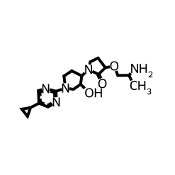 CC(N)COC1CCN(C2CCN(c3ncc(C4CC4)cn3)CC2O)C1=O